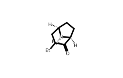 CCC1C[C@H]2CC[C@@H](C1=O)N2C